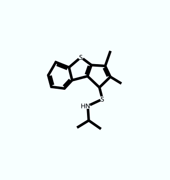 CC1=C(C)C(SNC(C)C)c2c1sc1ccccc21